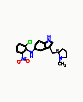 CN1CCC[C@@H]1Cc1c[nH]c2ccc(Nc3c(Cl)cccc3[N+](=O)[O-])cc12